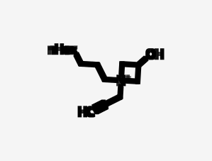 C#CC[N+]1(CCCCCCCCC)CC(O)C1